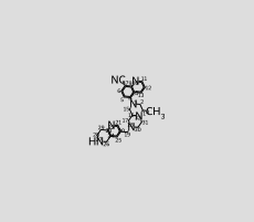 CC1CN(c2ccc(C#N)c3ncccc23)CC2CN(Cc3cnc4c(c3)CNCC4)CCN12